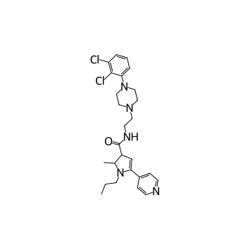 CCCN1C(c2ccncc2)=CC(C(=O)NCCN2CCN(c3cccc(Cl)c3Cl)CC2)C1C